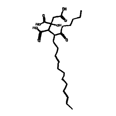 CCCCCCCCCCCCC(C(=O)CCCCC)C(C(=O)O)C(O)(CC(=O)O)C(=O)O